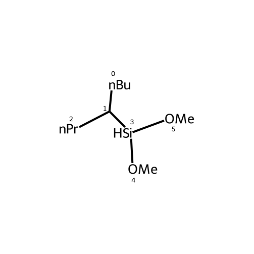 CCCCC(CCC)[SiH](OC)OC